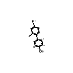 Cc1cc(F)ccc1-c1ccc(O)cc1